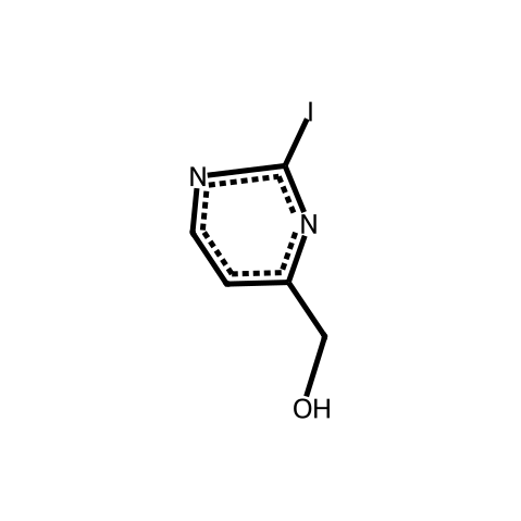 OCc1ccnc(I)n1